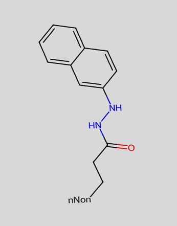 CCCCCCCCCCCC(=O)NNc1ccc2ccccc2c1